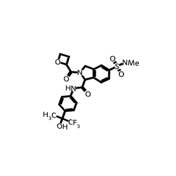 CNS(=O)(=O)c1ccc2c(c1)CN(C(=O)C1CCO1)C2C(=O)Nc1ccc(C(C)(O)C(F)(F)F)cc1